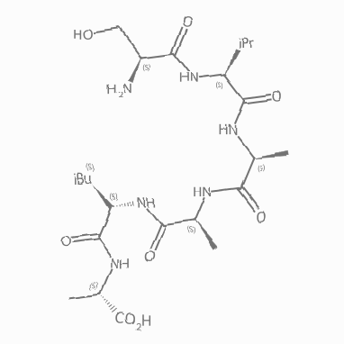 CC[C@H](C)[C@H](NC(=O)[C@H](C)NC(=O)[C@H](C)NC(=O)[C@@H](NC(=O)[C@@H](N)CO)C(C)C)C(=O)N[C@@H](C)C(=O)O